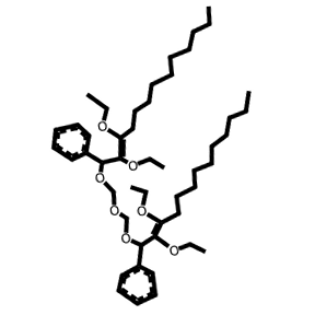 CCCCCCCCCCC(OCC)=C(OCC)C(OCOCOC(C(OCC)=C(CCCCCCCCCC)OCC)c1ccccc1)c1ccccc1